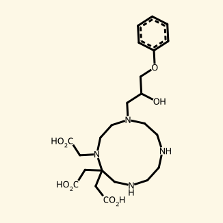 O=C(O)CN1CCN(CC(O)COc2ccccc2)CCNCCNCC1(CC(=O)O)CC(=O)O